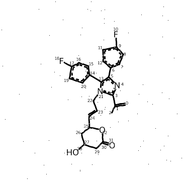 C=C(C)c1nc(-c2ccc(F)cc2)c(-c2ccc(F)cc2)n1C/C=C/C1CC(O)CC(=O)O1